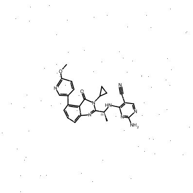 COc1ccc(-c2cccc3nc([C@H](C)Nc4nc(N)ncc4C#N)n(C4CC4)c(=O)c23)cn1